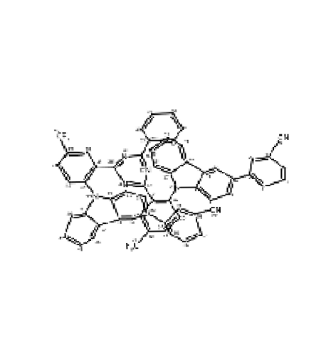 N#Cc1cccc(-c2ccc3c(c2)c2ccccc2n3-c2ccc(C(F)(F)F)cc2-c2nc(-c3ccccc3)nc(-c3cc(C(F)(F)F)ccc3-n3c4ccccc4c4cc(-c5cccc(C#N)c5)ccc43)n2)c1